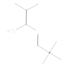 CC(C)C(N)SCC(C)(C)C